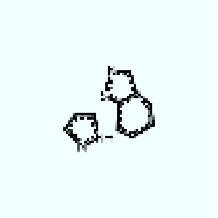 c1ccc2sncc2c1.c1cn[nH]c1